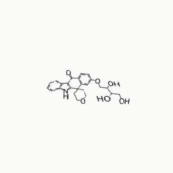 O=C1c2ccc(OCC(O)C(O)CO)cc2C2(CCOCC2)c2[nH]c3ccccc3c21